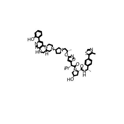 Cc1ncsc1-c1ccc([C@H](C)NC(=O)[C@@H]2C[C@@H](O)CN2C(=O)[C@@H](c2cc(O[C@@H](C)CN3CC[C@@H](N4CCN5c6cc(-c7ccccc7O)nnc6NC[C@H]5C4)C3)no2)C(C)C)cc1